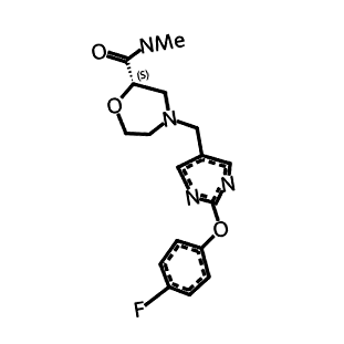 CNC(=O)[C@@H]1CN(Cc2cnc(Oc3ccc(F)cc3)nc2)CCO1